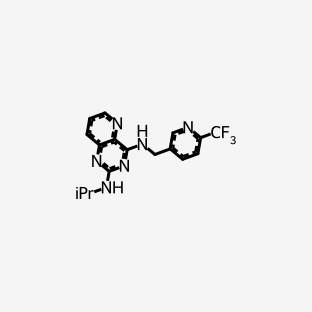 CC(C)Nc1nc(NCc2ccc(C(F)(F)F)nc2)c2ncccc2n1